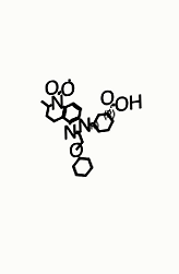 COC(=O)N1c2ccc3c(nc(COC4CCCCC4)n3[C@@H]3CCC[C@@H](C(=O)O)C3)c2CCC1C